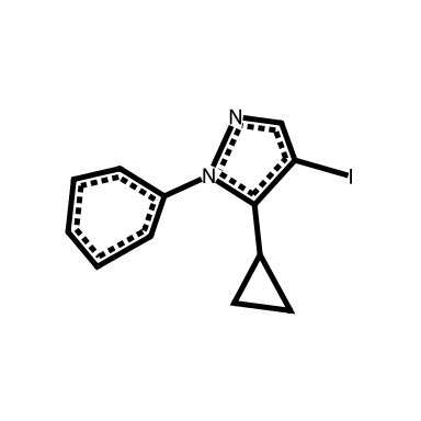 Ic1cnn(-c2ccccc2)c1C1CC1